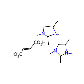 CC1CN(C)C(C)N1C.CC1CN(C)C(C)N1C.O=C(O)C=CC(=O)O